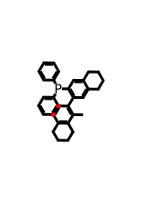 Cc1c(-c2cc3c(cc2P(c2ccccc2)c2ccccc2)CCCC3)ccc2c1CCCC2